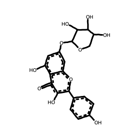 O=c1c(O)c(-c2ccc(O)cc2)oc2cc(OC3OCC(O)C(O)C3O)cc(O)c12